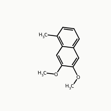 COc1cc2cccc(C)c2cc1OC